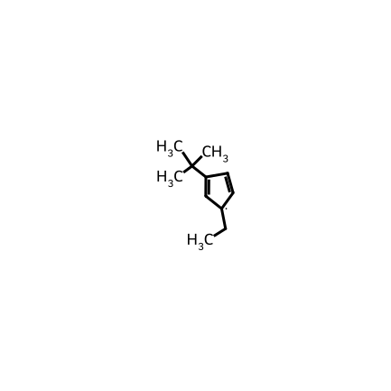 CC[C]1C=CC(C(C)(C)C)=C1